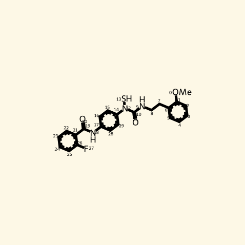 COc1ccccc1CCNC(=O)N(S)c1ccc(NC(=O)c2ccccc2F)cc1